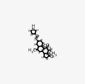 C=C1CC2C(C(=O)C(F)[C@]3(C)C(=O)CCC23)[C@@]2(C)CCC(=NOC3CCNC3)CC12